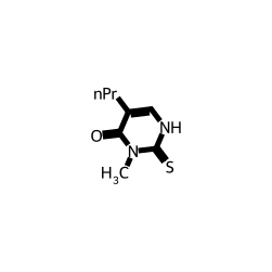 CCCc1c[nH]c(=S)n(C)c1=O